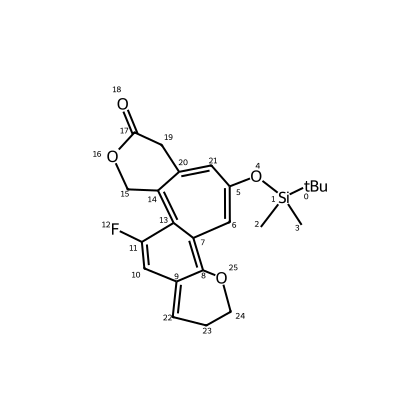 CC(C)(C)[Si](C)(C)OC1=Cc2c3c(cc(F)c2=C2COC(=O)CC2=C1)=CCCO3